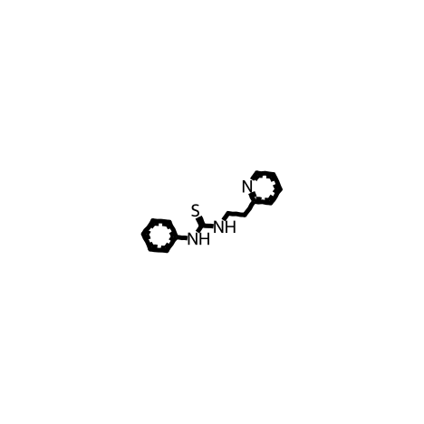 S=C(NCCc1ccccn1)Nc1ccccc1